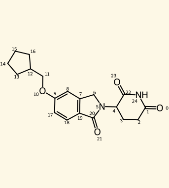 O=C1CCC(N2Cc3cc(OCC4CCCC4)ccc3C2=O)C(=O)N1